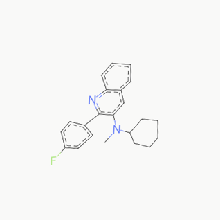 CN(c1cc2ccccc2nc1-c1ccc(F)cc1)C1CCCCC1